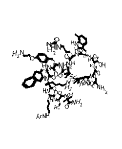 CC(=O)C[C@H](NC(=O)[C@H](CCCCNC(C)=O)NC(=O)C(C)(CCCCN)NC(=O)[C@H](Cc1ccc2ccccc2c1)NC(=O)[C@H](Cc1ccc(OCCN)cc1)NC(=O)[C@H]1NC(=O)[C@H](CCCNC(N)=O)NC(=O)[C@H](Cc2c[nH]c3c(C)cccc23)NC(=O)[C@H]([C@@H](C)O)NC(=O)[C@H](CC(N)=O)NC(=O)[C@@H](NC(C)=O)C(C)(C)SSC1(C)C)C(=O)NC(C)(C)C(N)=O